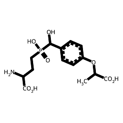 CC(Oc1ccc(C(O)P(=O)(O)CCC(N)C(=O)O)cc1)C(=O)O